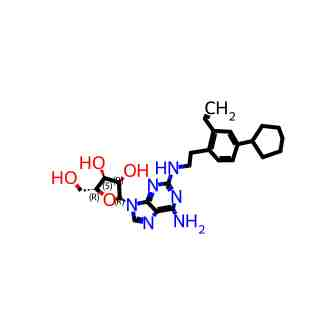 C=Cc1cc(C2CCCCC2)ccc1CCNc1nc(N)c2ncn([C@@H]3O[C@H](CO)[C@@H](O)[C@H]3O)c2n1